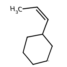 C/C=C\C1C[CH]CCC1